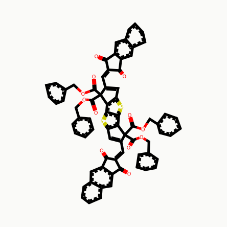 O=C1C(=CC2=Cc3sc4c5c(sc4c3C2(C(=O)OCc2ccccc2)C(=O)OCc2ccccc2)C=C(C=C2C(=O)c3cc4ccccc4cc3C2=O)C5(C(=O)OCc2ccccc2)C(=O)OCc2ccccc2)C(=O)c2cc3ccccc3cc21